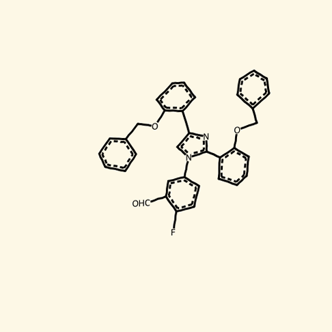 O=Cc1cc(-n2cc(-c3ccccc3OCc3ccccc3)nc2-c2ccccc2OCc2ccccc2)ccc1F